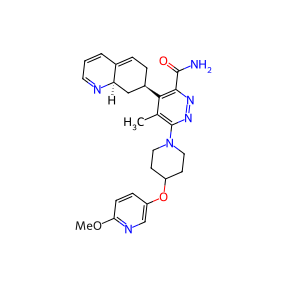 COc1ccc(OC2CCN(c3nnc(C(N)=O)c([C@@H]4CC=C5C=CC=N[C@@H]5C4)c3C)CC2)cn1